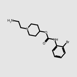 NCCN1CCC(OC(=O)Nc2ccccc2Br)CC1